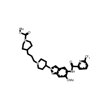 COc1cc2nn(C3CCN(CCCC4CCN(C(=O)OC(C)(C)C)CC4)CC3)cc2cc1NC(=O)c1cccc(C(F)(F)F)n1